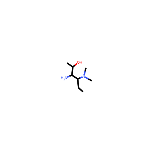 CCC(C(N)C(C)O)N(C)C